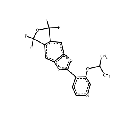 CC(C)Oc1cnccc1-c1nc2cc3c(cc2o1)C(F)(F)OC3(F)F